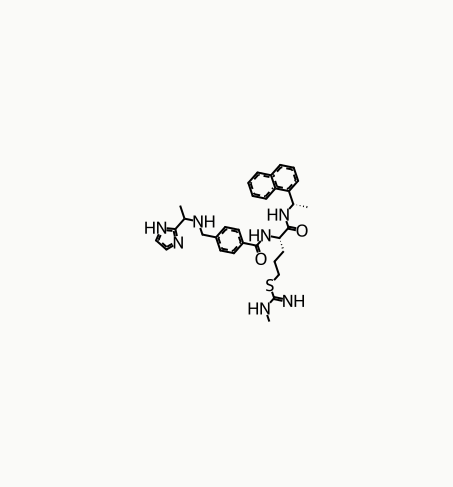 CNC(=N)SCCC[C@H](NC(=O)c1ccc(CNC(C)c2ncc[nH]2)cc1)C(=O)N[C@@H](C)c1cccc2ccccc12